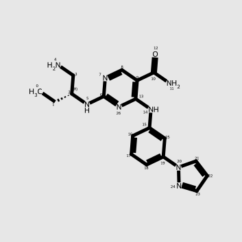 CC[C@H](CN)Nc1ncc(C(N)=O)c(Nc2cccc(-n3cccn3)c2)n1